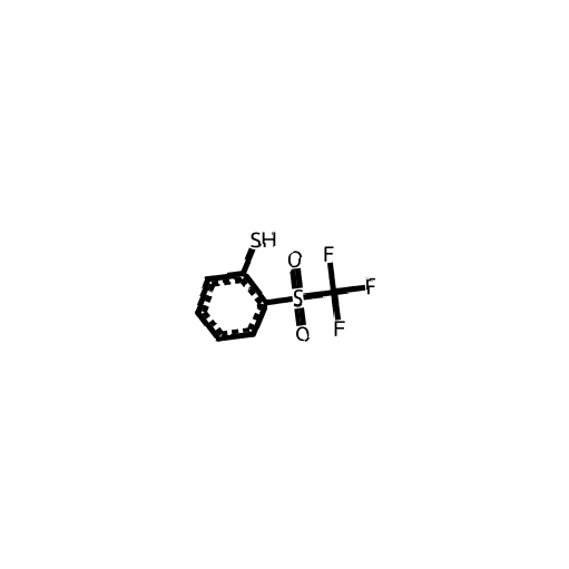 O=S(=O)(c1ccccc1S)C(F)(F)F